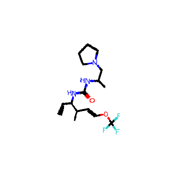 C=CC(NC(=O)NC(C)CN1CCCC1)C(C)/C=C/OC(F)(F)F